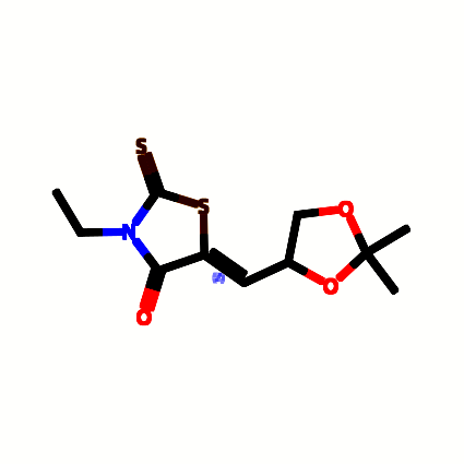 CCN1C(=O)/C(=C/C2COC(C)(C)O2)SC1=S